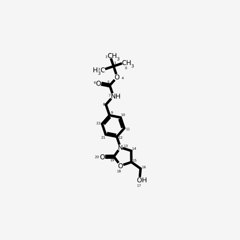 CC(C)(C)OC(=O)NCc1ccc(N2CC(CO)OC2=O)cc1